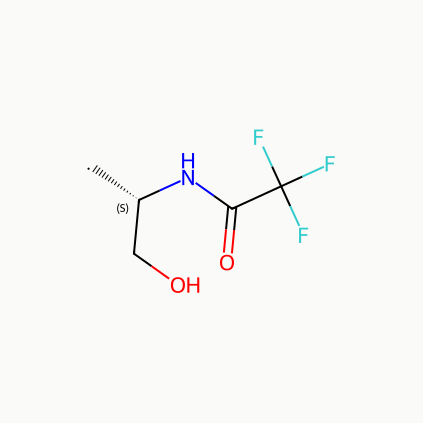 [CH2][C@@H](CO)NC(=O)C(F)(F)F